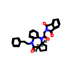 O=C1c2ccccc2C(=O)N1CC(=O)N1c2ccccc2N(CCc2ccccc2)C(=O)[C@H]2CCC[C@H]21